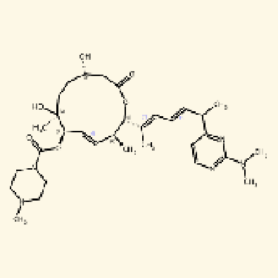 C/C(=C\C=C\C(C)c1ccnc(N(C)C)n1)[C@H]1OC(=O)C[C@@H](O)CC[C@](C)(O)[C@H](OC(=O)N2CCN(C)CC2)/C=C/[C@@H]1C